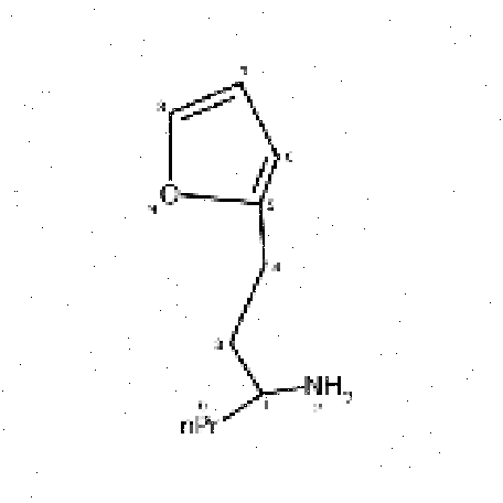 CCCC(N)CCc1ccco1